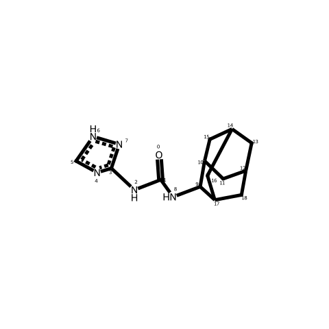 O=C(Nc1nc[nH]n1)NC1C2CC3CC(C2)CC1C3